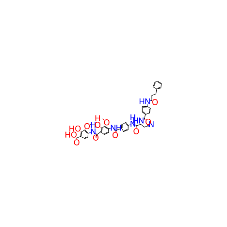 COc1c(NC(=O)c2ccc(NC(=O)c3ccc(NC(=O)C(CC#N)NC(=O)c4ccc(NC(=O)CCc5ccccc5)cc4)cc3)c(OC)c2O)ccc(C(=O)O)c1O